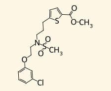 COC(=O)c1ccc(CCCN(CCOc2cccc(Cl)c2)S(C)(=O)=O)s1